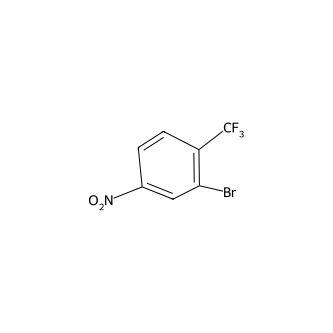 O=[N+]([O-])c1ccc(C(F)(F)F)c(Br)c1